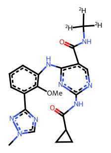 [2H]C([2H])([2H])NC(=O)c1cnc(NC(=O)C2CC2)nc1Nc1cccc(-c2ncn(C)n2)c1OC